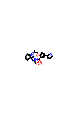 CCCOc1ccc(-c2cccnc2)cc1C(=O)N[C@@H](CO)Cc1cn(C)c2ccccc12